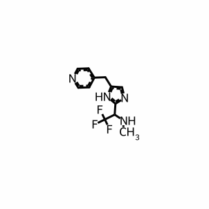 CNC(c1ncc(Cc2ccncc2)[nH]1)C(F)(F)F